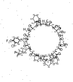 CC[C@H](C)[C@@H]1NC(=O)[C@H](CC(C)C)N(C)C(=O)C[C@@H](C(=O)N2CCCCC2)N(C)C(=O)[C@H](C2CCCCC2)N(C)C(=O)C2(CCCC2)NC(=O)CN(C2CC3(C2)CC(F)(F)C3)C(=O)[C@H](CCc2ccc(C(F)(F)F)c(Cl)c2)NC(=O)CN(C)C(=O)[C@H](CC2CCCCC2)N(C)C(=O)CN(C)C(=O)CN(C)C1=O